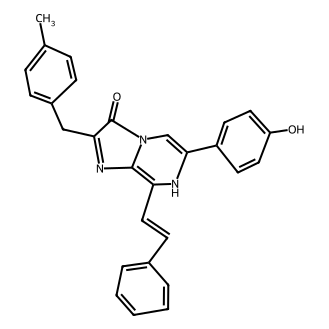 Cc1ccc(Cc2nc3c(/C=C/c4ccccc4)[nH]c(-c4ccc(O)cc4)cn-3c2=O)cc1